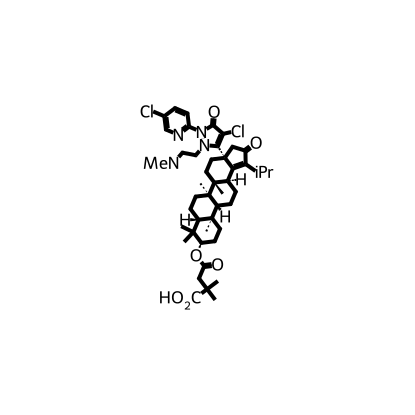 CNCCn1c([C@@]23CC[C@]4(C)[C@H](CC[C@@H]5[C@@]6(C)CC[C@H](OC(=O)CC(C)(C)C(=O)O)C(C)(C)[C@@H]6CC[C@]54C)C2=C(C(C)C)C(=O)C3)c(Cl)c(=O)n1-c1ccc(Cl)cn1